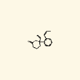 C=CC1(c2ccccc2/C=C\C)CCCC(=O)C1